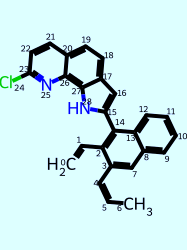 C=Cc1c(/C=C\C)cc2ccccc2c1-c1cc2ccc3ccc(Cl)nc3c2[nH]1